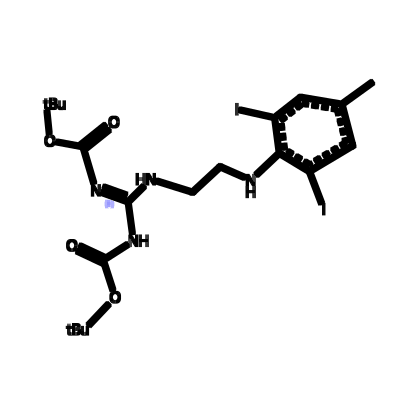 Cc1cc(I)c(NCCN/C(=N\C(=O)OC(C)(C)C)NC(=O)OC(C)(C)C)c(I)c1